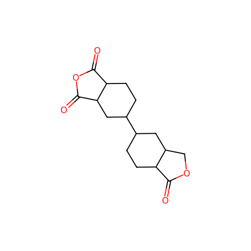 O=C1OCC2CC(C3CCC4C(=O)OC(=O)C4C3)CCC12